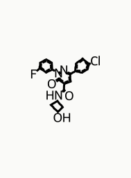 O=C(N[C@H]1C[C@@H](O)C1)c1cc(-c2ccc(Cl)cc2)nn(-c2cccc(F)c2)c1=O